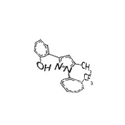 Cc1cc(-c2ccccc2O)nn1-c1ccccc1C(F)(F)F